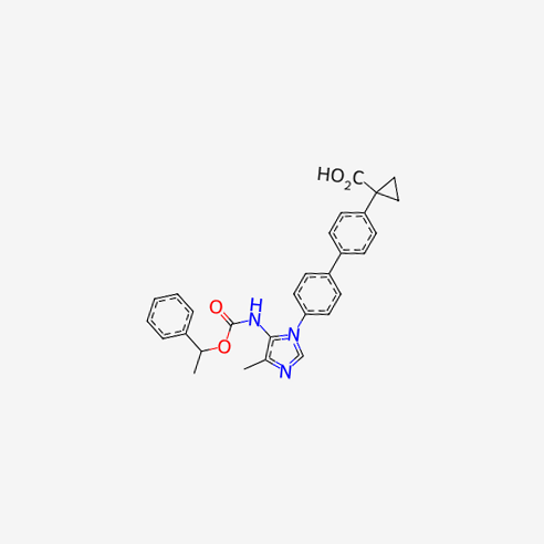 Cc1ncn(-c2ccc(-c3ccc(C4(C(=O)O)CC4)cc3)cc2)c1NC(=O)OC(C)c1ccccc1